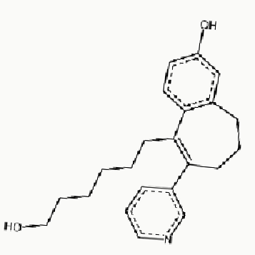 OCCCCCCC1=C(c2cccnc2)CCCc2cc(O)ccc21